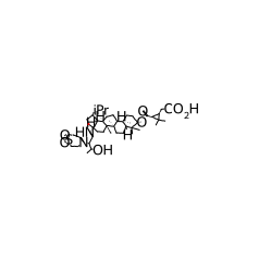 CC(O)C(CN[C@]12CC[C@@H](C(C)C)[C@@H]1[C@H]1CC[C@@H]3[C@@]4(C)CC[C@H](OC(=O)[C@H]5[C@@H](CC(=O)O)C5(C)C)C(C)(C)[C@@H]4CC[C@@]3(C)[C@]1(C)CC2)N1CCS(=O)(=O)CC1